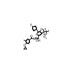 Cc1cc(C(=O)NC[C@](C)(O)c2cc3c(c(-c4ccc(F)cc4)n2)OC[C@@]3(N)C(F)(F)F)ccc1OC1CC1